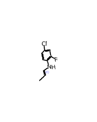 C/C=C/Nc1ccc(Cl)cc1F